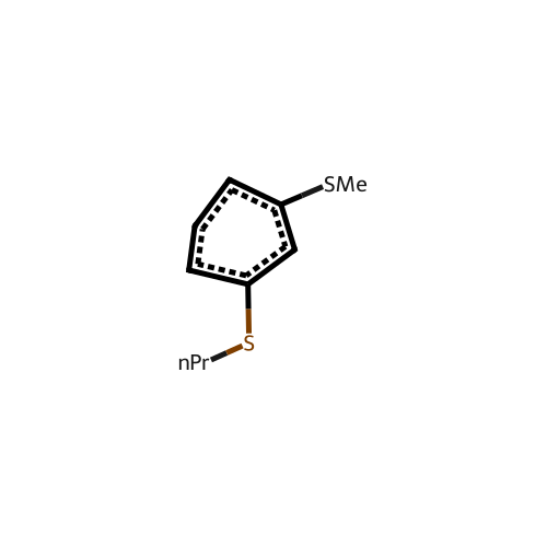 CCCSc1cccc(SC)c1